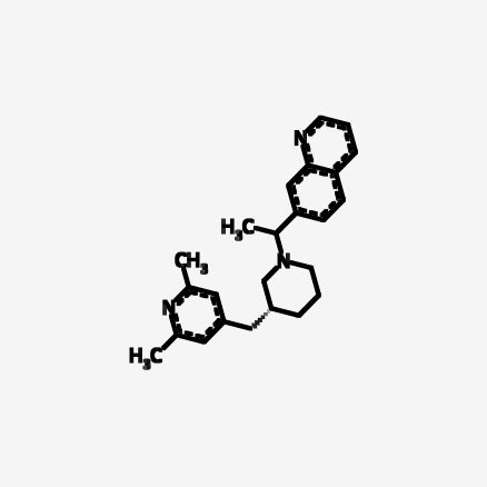 Cc1cc(C[C@H]2CCCN(C(C)c3ccc4cccnc4c3)C2)cc(C)n1